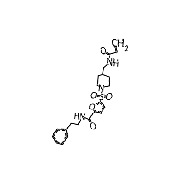 C=CC(=O)NCC1CCN(S(=O)(=O)c2ccc(C(=O)NCCc3ccccc3)o2)CC1